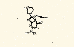 CC#CCn1c(N2CCNCC2)nc2nc(N(CC)CC)n(C)c(=O)c21